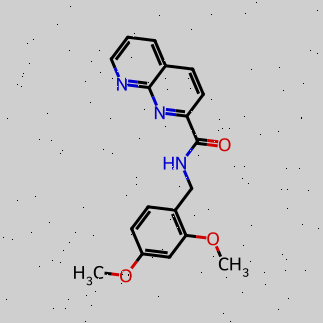 COc1ccc(CNC(=O)c2ccc3cccnc3n2)c(OC)c1